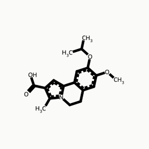 COc1cc2c(cc1OC(C)C)-c1cc(C(=O)O)c(C)n1CC2